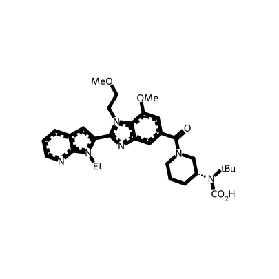 CCn1c(-c2nc3cc(C(=O)N4CCC[C@@H](N(C(=O)O)C(C)(C)C)C4)cc(OC)c3n2CCOC)cc2cccnc21